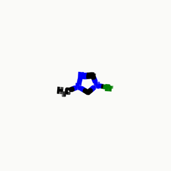 CN1CN(Br)[C]=N1